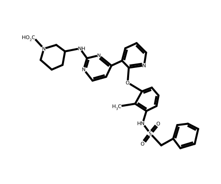 Cc1c(NS(=O)(=O)Cc2ccccc2)cccc1Oc1ncccc1-c1ccnc(NC2CCCN(C(=O)O)C2)n1